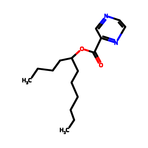 CCCCCCC(CCCC)OC(=O)c1cnccn1